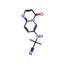 CC(C)(C#N)Nc1ccc2nccc(=O)n2c1